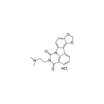 CN(C)CCn1c(=O)c2cccc3c4c5c(ccc4n(c1=O)c23)OCO5.Cl